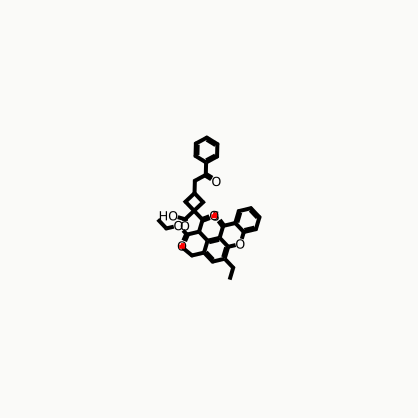 CCOC(=O)C(C(=O)C1(C(=O)O)CC(CC(=O)c2ccccc2)C1)c1c(CC)cc(CC)c2oc3ccccc3c(=S)c12